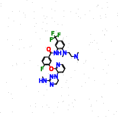 CNC1=NN(c2cccnc2Oc2cc(C(=O)Nc3cc(C(F)(F)F)ccc3N(C)CCN(C)C)ccc2F)CC=N1